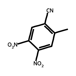 Cc1cc([N+](=O)[O-])c([N+](=O)[O-])cc1C#N